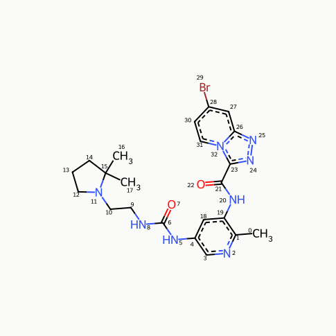 Cc1ncc(NC(=O)NCCN2CCCC2(C)C)cc1NC(=O)c1nnc2cc(Br)ccn12